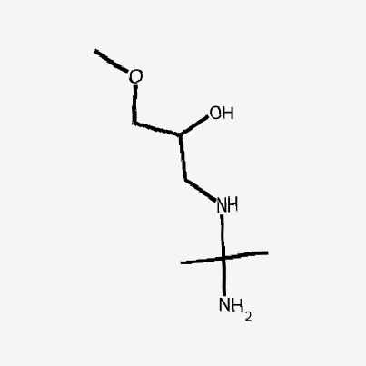 COCC(O)CNC(C)(C)N